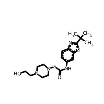 CC(C)(C)c1nc2ccc(NC(=O)SN3CCN(CCO)CC3)cc2s1